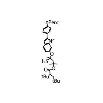 CCCCCc1ccc(-c2cc3ccc(OC(C)(S)CC(C)(C)OC(=O)C(CC(C)(C)C)C(C)(C)C)cc3n2C)cc1